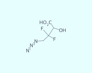 [N-]=[N+]=NCC(F)(F)C(O)C(=O)O